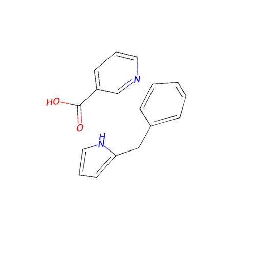 O=C(O)c1cccnc1.c1ccc(Cc2ccc[nH]2)cc1